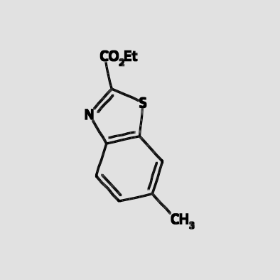 CCOC(=O)c1nc2ccc(C)cc2s1